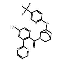 Cc1cnc(C(=O)N2CC3CCC2C(Nc2ccc(C(F)(F)F)cn2)C3)c(-c2ncccn2)c1